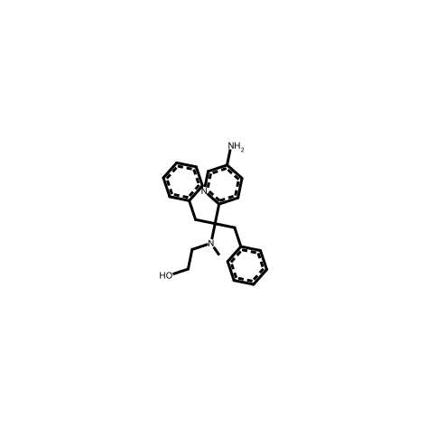 CN(CCO)C(Cc1ccccc1)(Cc1ccccc1)c1ccc(N)cn1